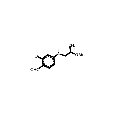 COC(C)CNc1ccc(C=O)c(O)c1